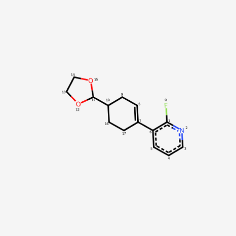 Fc1ncccc1C1=CCC(C2OCCO2)CC1